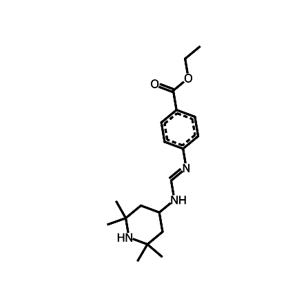 CCOC(=O)c1ccc(N=CNC2CC(C)(C)NC(C)(C)C2)cc1